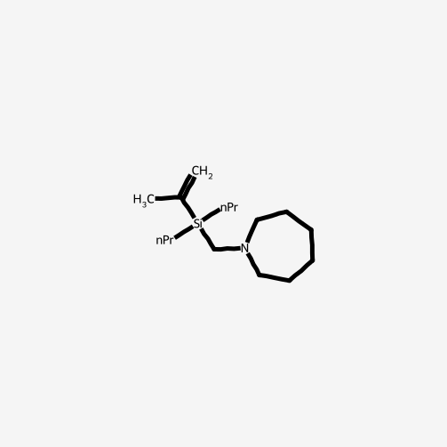 C=C(C)[Si](CCC)(CCC)CN1CCCCCC1